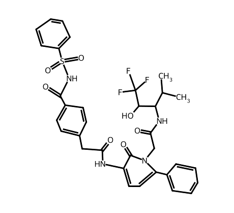 CC(C)C(NC(=O)Cn1c(-c2ccccc2)ccc(NC(=O)Cc2ccc(C(=O)NS(=O)(=O)c3ccccc3)cc2)c1=O)C(O)C(F)(F)F